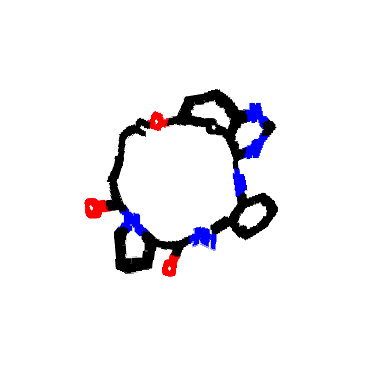 O=C1N/C=c2/cccc/c2=N/c2ncnc3ccc(cc23)OCC/C=C\C(=O)n2cccc21